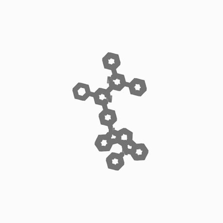 c1ccc(-c2cc(-c3ccccc3)nc(-c3cc(C4CCCCC4)cc(-c4ccc(-n5c6ccccc6c6c5ccc5c7ccccc7n(-c7ccccc7)c56)cc4)n3)c2)cc1